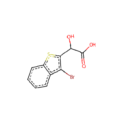 O=C(O)C(O)c1sc2ccccc2c1Br